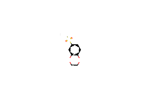 CS(=O)(=O)c1ccc2c(c1)OCCO2